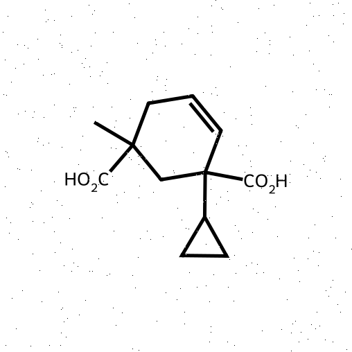 CC1(C(=O)O)CC=CC(C(=O)O)(C2CC2)C1